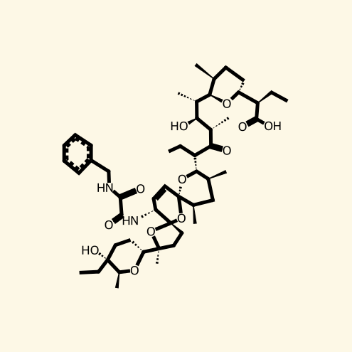 CCC(C(=O)[C@@H](C)[C@@H](O)[C@H](C)[C@@H]1O[C@@H]([C@@H](CC)C(=O)O)CC[C@@H]1C)[C@H]1O[C@]2(C=C[C@@H](NC(=O)C(=O)NCc3ccccc3)[C@]3(CC[C@@](C)([C@H]4CC[C@](O)(CC)[C@H](C)O4)O3)O2)[C@H](C)C[C@@H]1C